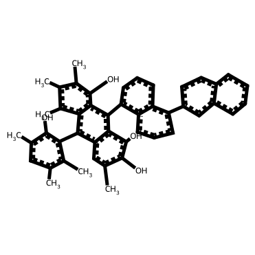 Cc1cc(C)c(O)c(-c2c3cc(C)c(O)c(O)c3c(-c3cccc4c(-c5ccc6ccccc6c5)cccc34)c3c(O)c(C)c(C)c(C)c23)c1C